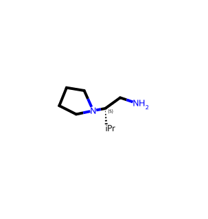 CC(C)[C@@H](CN)N1CCCC1